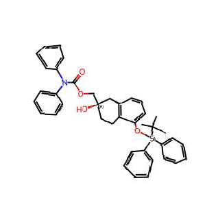 CC(C)(C)[Si](Oc1cccc2c1CC[C@](O)(COC(=O)N(c1ccccc1)c1ccccc1)C2)(c1ccccc1)c1ccccc1